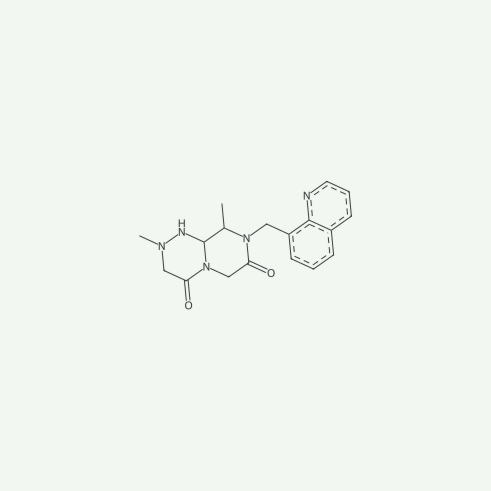 CC1C2NN(C)CC(=O)N2CC(=O)N1Cc1cccc2cccnc12